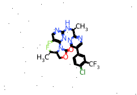 C[C@H](Nc1ncc(F)c(N2C(=O)OCC2[C@H](C)F)n1)c1ncc(-c2ccc(Cl)c(C(F)(F)F)c2)cn1